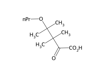 CCCOC(C)(C)C(C)(C)C(=O)C(=O)O